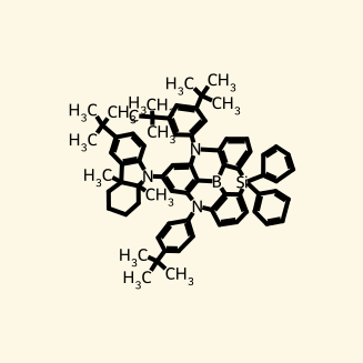 CC(C)(C)c1ccc(N2c3cc(N4c5ccc(C(C)(C)C)cc5C5(C)CCCCC45C)cc4c3B3c5c2cccc5[Si](c2ccccc2)(c2ccccc2)c2cccc(c23)N4c2cc(C(C)(C)C)cc(C(C)(C)C)c2)cc1